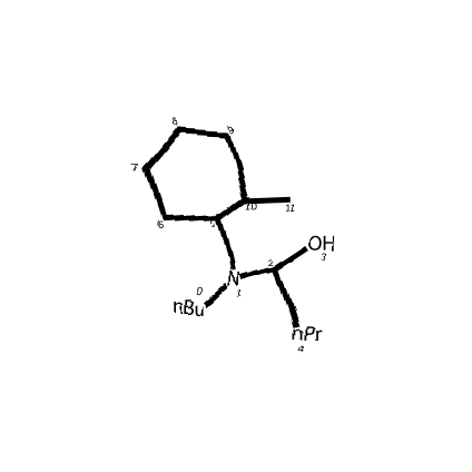 CCCCN(C(O)CCC)C1CCCCC1C